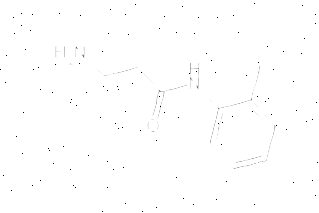 [CH2]c1ccccc1NC(=O)CCN